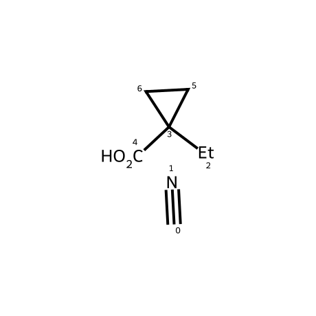 C#N.CCC1(C(=O)O)CC1